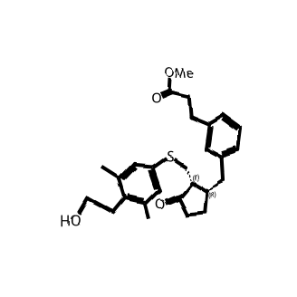 COC(=O)CCc1cccc(C[C@H]2CCC(=O)[C@@H]2CSc2cc(C)c(CCO)c(C)c2)c1